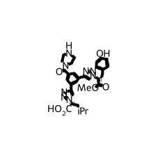 COC(=O)[C@H](Cc1ccc(O)cc1)n1cc(-c2cc(C(=O)N3CCNCC3)cc(-c3cn([C@@H](CC(C)C)C(=O)O)nn3)c2)nn1